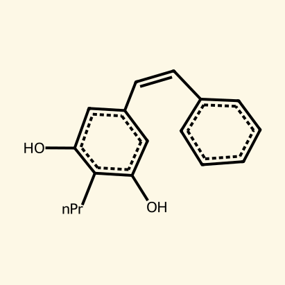 CCCc1c(O)cc(/C=C\c2ccccc2)cc1O